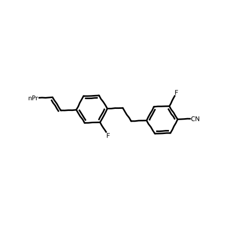 CCCC=Cc1ccc(CCc2ccc(C#N)c(F)c2)c(F)c1